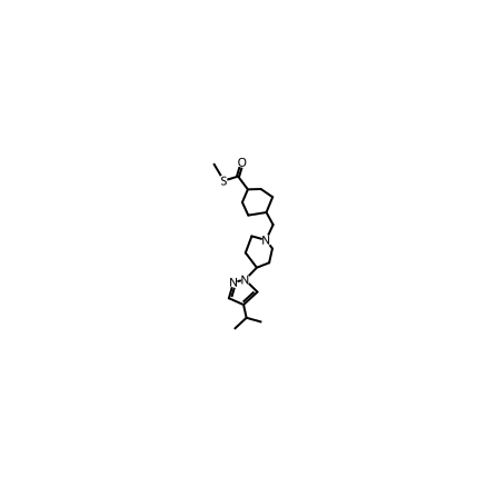 CSC(=O)C1CCC(CN2CCC(n3cc(C(C)C)cn3)CC2)CC1